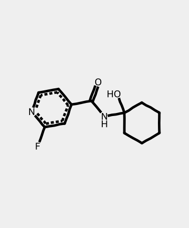 O=C(NC1(O)CCCCC1)c1ccnc(F)c1